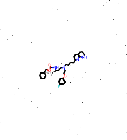 O=C(NC(CCN(CCCCc1ccc2c(n1)NCCC2)CCOc1ccc(F)cc1)C(=O)O)OCc1ccccc1